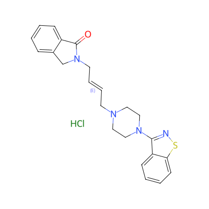 Cl.O=C1c2ccccc2CN1C/C=C/CN1CCN(c2nsc3ccccc23)CC1